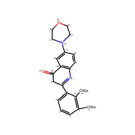 COc1cccc(C2=Nc3ccc(N4CCOCC4)cc3C(=O)C2)c1OC